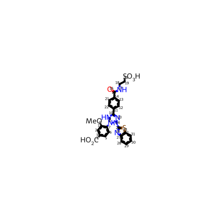 COc1cc(C(=O)O)ccc1N1NC(c2ccc(C(=O)NCCS(=O)(=O)O)cc2)=NN1c1nc2ccccc2s1